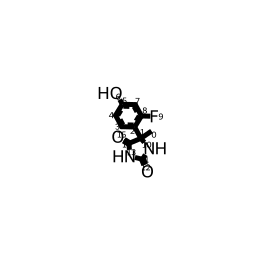 CC1(c2ccc(O)cc2F)NC(=O)NC1=O